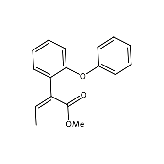 CC=C(C(=O)OC)c1ccccc1Oc1ccccc1